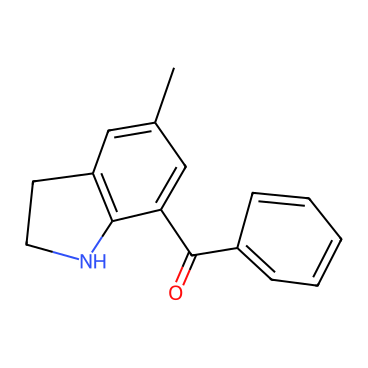 Cc1cc2c(c(C(=O)c3ccccc3)c1)NCC2